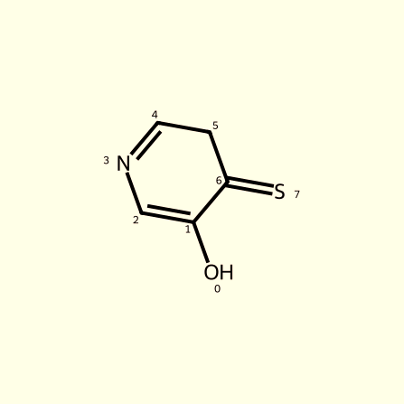 OC1=CN=CCC1=S